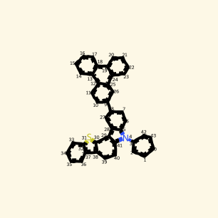 c1ccc(-n2c3ccc(-c4ccc5c6ccccc6c6ccccc6c5c4)cc3c3c4sc5ccccc5c4ccc32)cc1